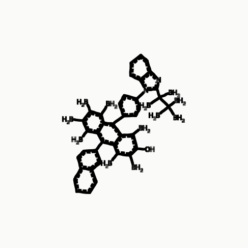 Bc1c(B)c(B)c2c(-c3ccc(-n4c(C(B)(B)C(B)(B)B)nc5ccccc54)cc3)c3c(B)c(O)c(B)c(B)c3c(-c3ccc4ccccc4c3)c2c1B